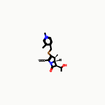 Cc1c[n+](C)ccc1CSC1=C(C(=O)[O-])N2C(=O)[C@H](C(C)O)[C@@H]2[C@H]1C